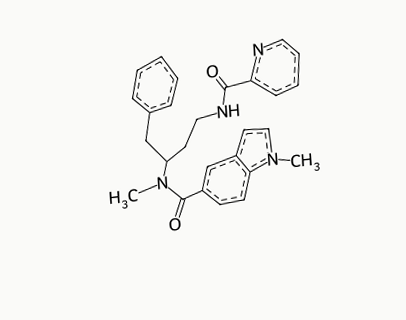 CN(C(=O)c1ccc2c(ccn2C)c1)C(CCNC(=O)c1ccccn1)Cc1ccccc1